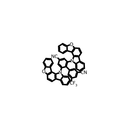 N#Cc1cc(-c2c(-n3c4ccccc4c4ccc5oc6ccccc6c5c43)cc(C#N)cc2-n2c3ccccc3c3ccc4oc5ccccc5c4c32)cc(C(F)(F)F)c1